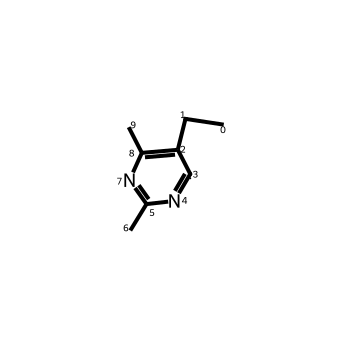 CCc1[c]nc(C)nc1C